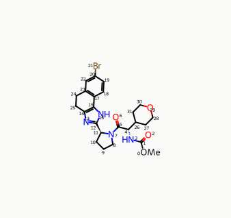 COC(=O)N[C@H](C(=O)N1CCC[C@H]1c1nc2c([nH]1)-c1ccc(Br)cc1CC2)C1CCOCC1